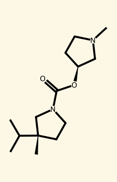 CC(C)[C@@]1(C)CCN(C(=O)O[C@H]2CCN(C)C2)C1